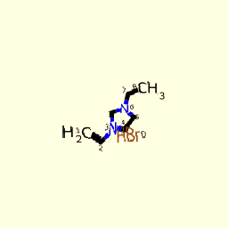 Br.C=CN1CCN(CC)C1